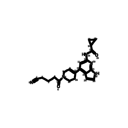 N#CCCCC(=O)N1CC=C(c2cc(NC(=O)C3CC3)nc3[nH]ccc23)CC1